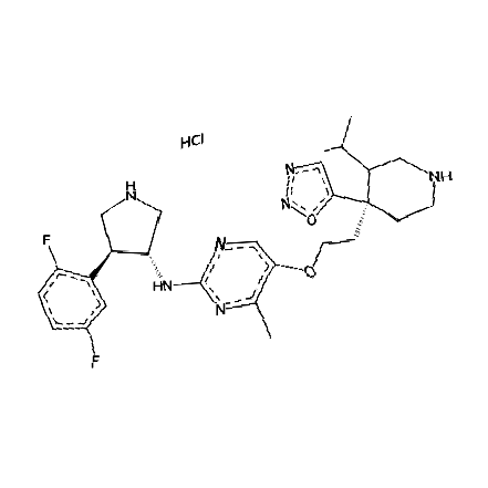 Cc1nc(N[C@H]2CNC[C@@H]2c2cc(F)ccc2F)ncc1OCC[C@@]1(c2cnno2)CCNCC1C(C)C.Cl